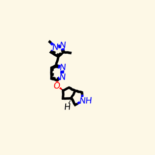 Cc1nn(C)cc1-c1ccc(O[C@H]2CC3CNC[C@H]3C2)nn1